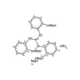 CCCCCCCCCc1ccccc1OP(Oc1ccccc1CCCCCCCCC)Oc1ccccc1CCCCCCCCC.P.[NaH]